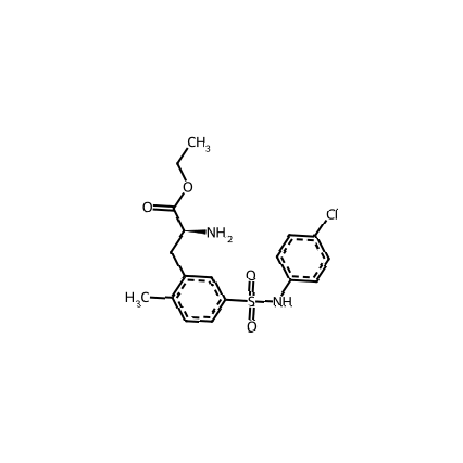 CCOC(=O)[C@@H](N)Cc1cc(S(=O)(=O)Nc2ccc(Cl)cc2)ccc1C